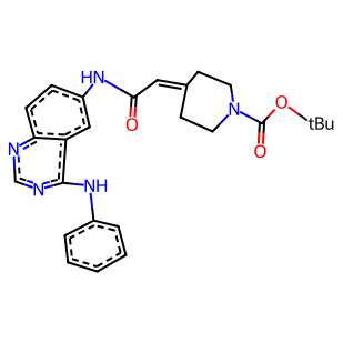 CC(C)(C)OC(=O)N1CCC(=CC(=O)Nc2ccc3ncnc(Nc4ccccc4)c3c2)CC1